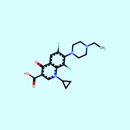 CCN1CCN(c2c(F)cc3c(=O)c(C(=O)O)cn(C4CC4)c3c2F)CC1